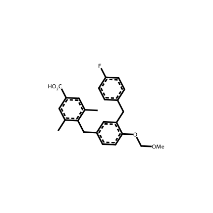 COCOc1ccc(Cc2c(C)cc(C(=O)O)cc2C)cc1Cc1ccc(F)cc1